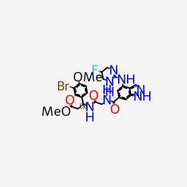 COC(=O)C[C@H](NC(=O)CNC(=O)c1cc(NC2=NCC(F)CN2)c2cn[nH]c2c1)c1ccc(OC)c(Br)c1